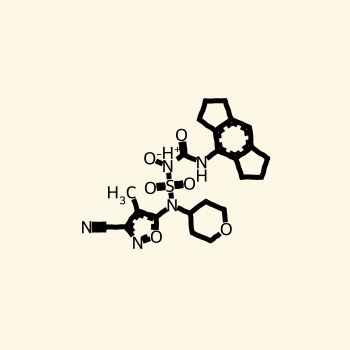 Cc1c(C#N)noc1N(C1CCOCC1)S(=O)(=O)[NH+]([O-])C(=O)Nc1c2c(cc3c1CCC3)CCC2